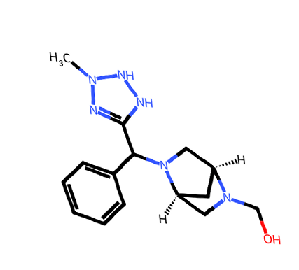 CN1N=C(C(c2ccccc2)N2C[C@@H]3C[C@H]2CN3CO)NN1